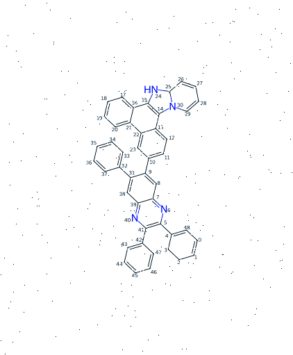 C1=CCCC(c2nc3cc(-c4ccc5c6c(c7ccccc7c5c4)NC4C=CC=CN64)c(-c4ccccc4)cc3nc2-c2ccccc2)=C1